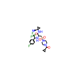 N#CC1(NC(=O)C(CS(=O)(=O)N2CCN(C(=O)C3CC3)CC2)N[C@H](c2ccc(F)cc2)C(F)(F)F)CC1